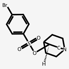 O=S(=O)(O[C@@H]1CN2CCC1CC2)c1ccc(Br)cc1